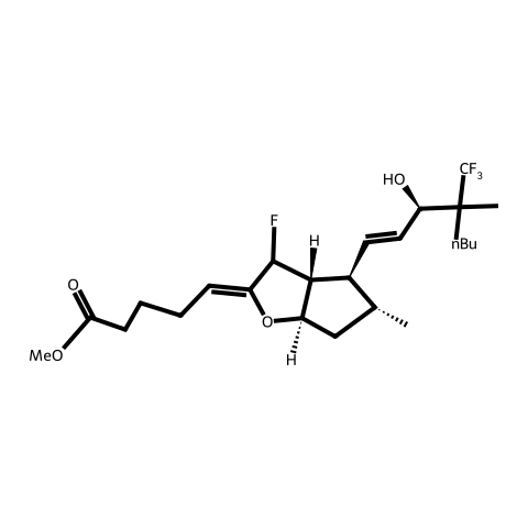 CCCCC(C)([C@H](O)/C=C/[C@@H]1[C@H]2C(F)/C(=C/CCCC(=O)OC)O[C@@H]2C[C@H]1C)C(F)(F)F